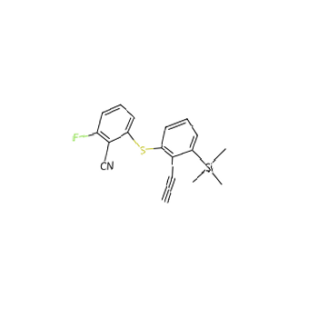 C#Cc1c(Sc2cccc(F)c2C#N)cccc1[Si](C)(C)C